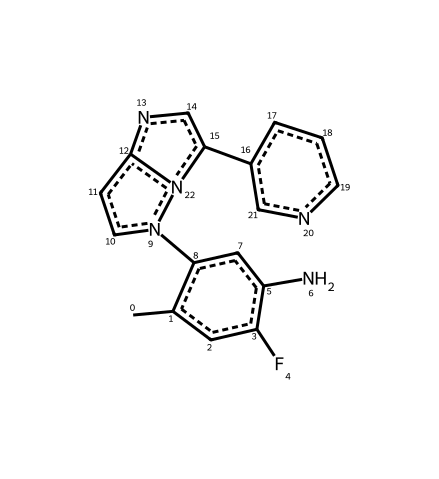 Cc1cc(F)c(N)cc1-n1ccc2ncc(-c3cccnc3)n21